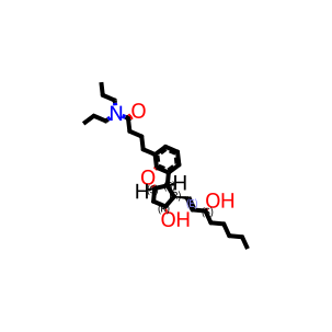 CCCCC[C@H](O)/C=C/[C@@H]1[C@H]2c3cccc(CCCC(=O)N(CCC)CCC)c3O[C@H]2C[C@H]1O